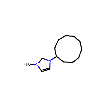 CN1C=CN(C2CCCCCCCCC2)C1